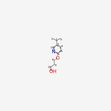 CC(C)c1ccc(OCCCO)nc1